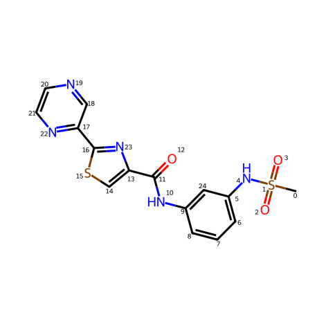 CS(=O)(=O)Nc1cccc(NC(=O)c2csc(-c3cnccn3)n2)c1